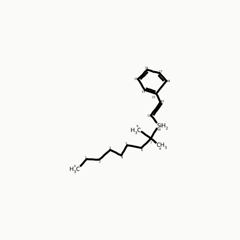 CCCCCCCC(C)(C)[SiH2][C]=Cc1cc[c]cc1